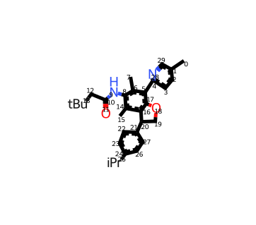 Cc1ccc(-c2c(C)c(NC(=O)CC(C)(C)C)c(C)c3c2OCC3c2ccc(C(C)C)cc2)nc1